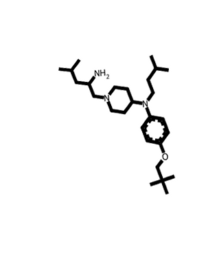 CC(C)CCN(c1ccc(OCC(C)(C)C)cc1)C1CCN(CC(N)CC(C)C)CC1